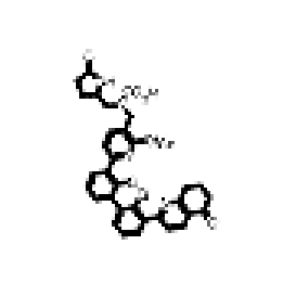 COc1nc(-c2cccc(-c3cccc(-c4ccc5c(n4)CCCC5=O)c3Cl)c2Cl)ccc1CN(CC1CCC(=O)N1)C(=O)O